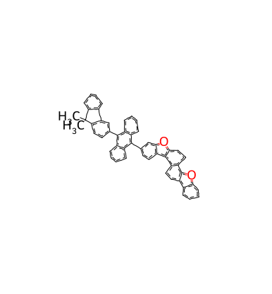 CC1(C)c2ccccc2-c2cc(-c3c4ccccc4c(-c4ccc5c(c4)oc4ccc6c(ccc7c8ccccc8oc76)c45)c4ccccc34)ccc21